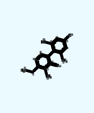 CSc1nnc(-c2c(C)cc(Cl)cc2O)c(=O)n1C